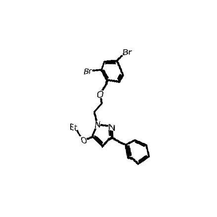 CCOc1cc(-c2ccccc2)nn1CCOc1ccc(Br)cc1Br